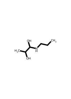 CCCNC(O)C(C)O